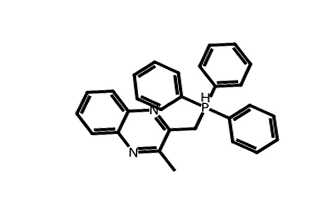 Cc1nc2ccccc2nc1C[PH](c1ccccc1)(c1ccccc1)c1ccccc1